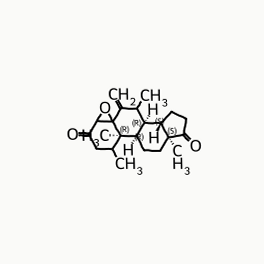 C=C1C(C)[C@@H]2[C@@H](CC[C@]3(C)C(=O)CC[C@@H]23)[C@@]2(C)C(C)CC(=O)C3OC132